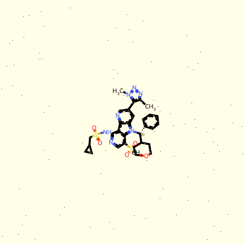 Cc1nnn(C)c1-c1cnc2c3c(NS(=O)(=O)CC4CC4)ncc(S(C)(=O)=O)c3n([C@H](c3ccccc3)C3CCOCC3)c2c1